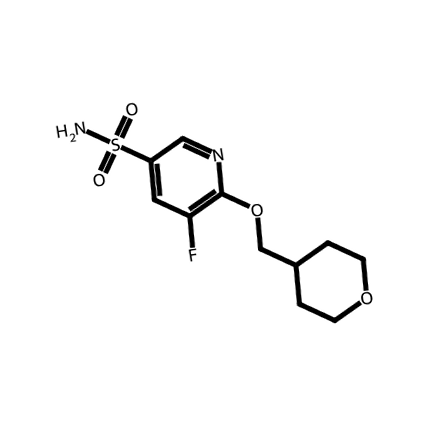 NS(=O)(=O)c1cnc(OCC2CCOCC2)c(F)c1